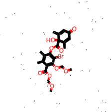 COCOC(=O)c1c(C)c(C)c(OC(=O)C2(O)C(C)=CC(=O)C=C2C)c(Br)c1OCOC